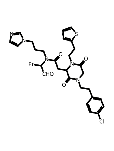 CCC(C=O)N(CCCn1ccnc1)C(=O)CC1C(=O)N(CCc2ccc(Cl)cc2)CC(=O)N1CCc1cccs1